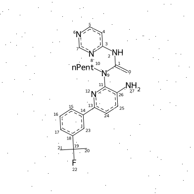 C=C(Nc1ccncn1)N(CCCCC)c1nc(-c2cccc(C(C)(C)F)c2)ccc1N